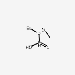 CCC.CCO[PH](=O)O